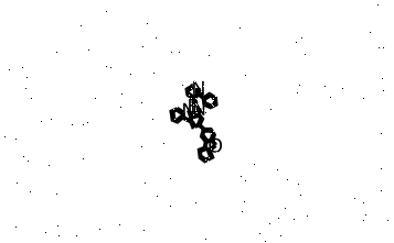 c1cnc2c(c1)B1N(c3ccccc3-2)c2cc(-c3ccc4oc5ccccc5c4c3)cc3c4ccccc4n1c23